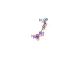 CC1(c2ccccc2)CCN(C(=O)Cc2ccc(OCCCCCNCC(O)c3ccc(O)c4[nH]c(=O)ccc34)c(F)c2)CC1